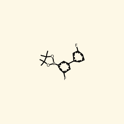 CC1(C)OB(c2cc(F)cc(-c3cccc(F)c3)c2)OC1(C)C